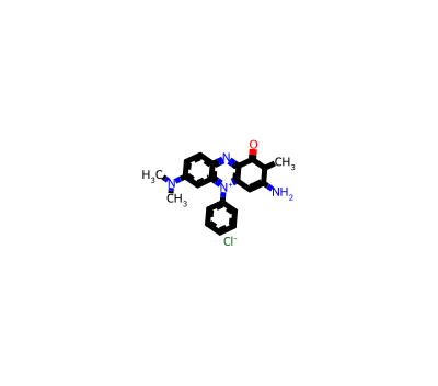 CC1C(=O)c2nc3ccc(N(C)C)cc3[n+](-c3ccccc3)c2C=C1N.[Cl-]